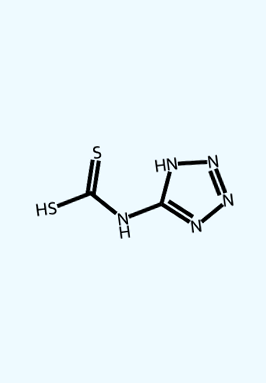 S=C(S)Nc1nnn[nH]1